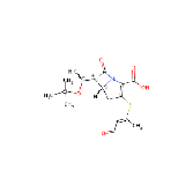 CC(=CC=O)SC1=C(C(=O)O)N2C(=O)[C@@H]([C@H](C)O[Si](C)(C)C)[C@H]2C1